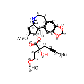 COC1=C[C@]23CCCN2CCc2cc4c(cc2[C@@H]3[C@@H]1OC(=O)[C@@](O)(CC#CC(C)(C)C)CCOC=O)OCO4